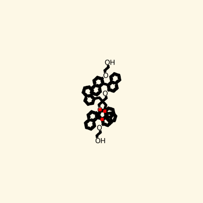 OCCOc1ccc2ccccc2c1-c1c(OCC(COc2ccc3ccccc3c2-c2c(OCCO)ccc3ccccc23)(Cc2cccc3ccccc23)Cc2cccc3ccccc23)ccc2ccccc12